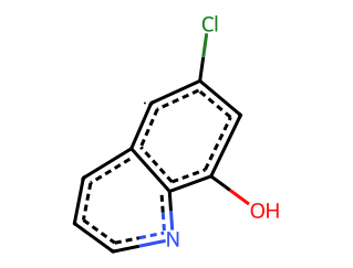 Oc1cc(Cl)[c]c2cccnc12